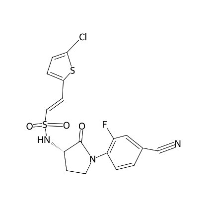 N#Cc1ccc(N2CC[C@H](NS(=O)(=O)C=Cc3ccc(Cl)s3)C2=O)c(F)c1